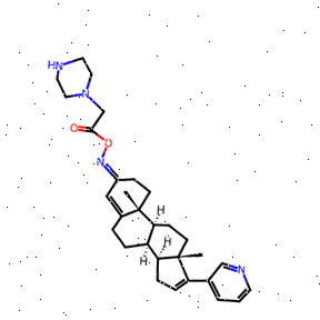 C[C@]12CCC(=NOC(=O)CN3CCNCC3)C=C1CC[C@H]1[C@@H]2CC[C@]2(C)C(c3cccnc3)=CC[C@@H]12